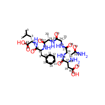 CC(C)C[C@H](NC(=O)[C@H](Cc1ccccc1)NC(=O)[C@H](C)NC(=O)[C@H](C)NC(=O)[C@H](CC(N)=O)NC(=O)[C@@H](N)CC(=O)O)C(=O)O